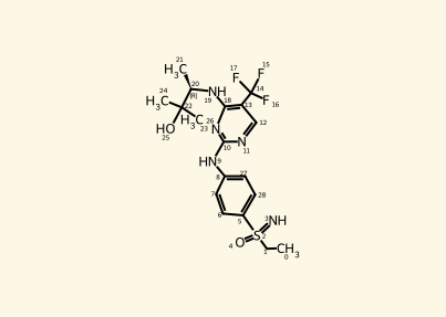 CCS(=N)(=O)c1ccc(Nc2ncc(C(F)(F)F)c(N[C@H](C)C(C)(C)O)n2)cc1